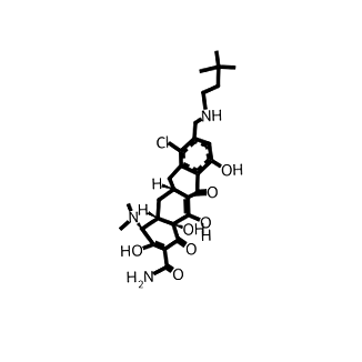 CN(C)[C@@H]1C(O)=C(C(N)=O)C(=O)[C@@]2(O)C(O)=C3C(=O)c4c(O)cc(CNCCC(C)(C)C)c(Cl)c4C[C@H]3C[C@@H]12